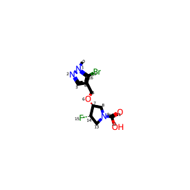 Cn1ncc(CO[C@@H]2CN(C(=O)O)C[C@@H]2F)c1Br